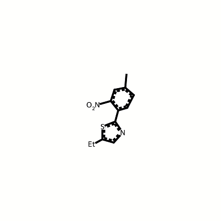 CCc1cnc(-c2ccc(C)cc2[N+](=O)[O-])s1